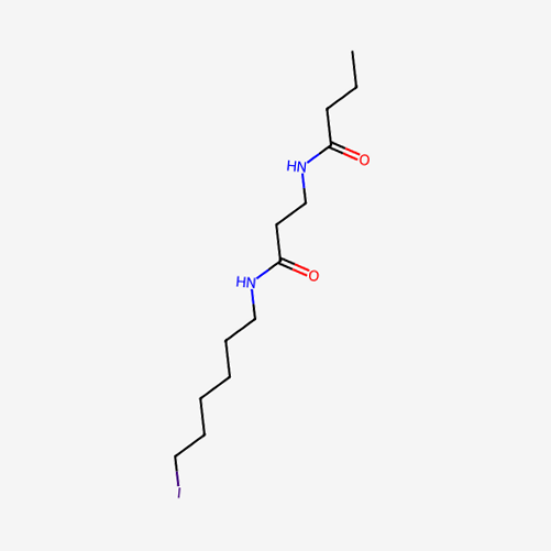 CCCC(=O)NCCC(=O)NCCCCCCI